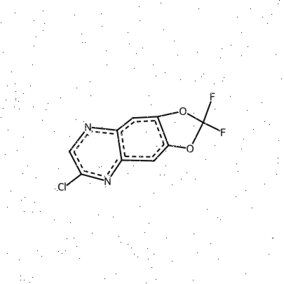 FC1(F)Oc2cc3ncc(Cl)nc3cc2O1